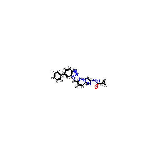 O=C(Nc1cn2nc(Cn3nnc4ccc(-c5ccccc5)cc43)ccc2n1)C1CC1